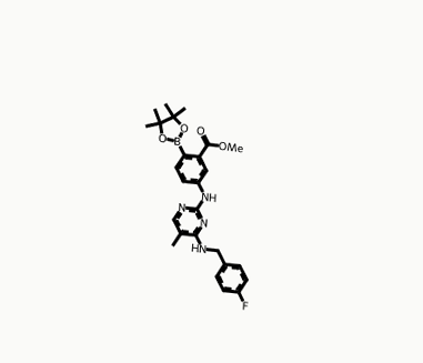 COC(=O)c1cc(Nc2ncc(C)c(NCc3ccc(F)cc3)n2)ccc1B1OC(C)(C)C(C)(C)O1